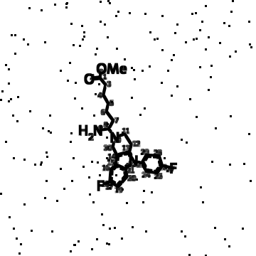 COC(=O)CCCCCC(N)N1CCc2c(c3cc(F)ccc3n2-c2ccc(F)cc2)C1